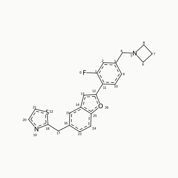 Fc1cc(CN2CCC2)ccc1-c1cc2cc(Cc3nccs3)ccc2o1